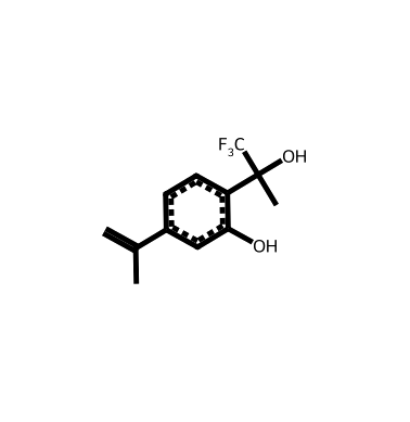 C=C(C)c1ccc(C(C)(O)C(F)(F)F)c(O)c1